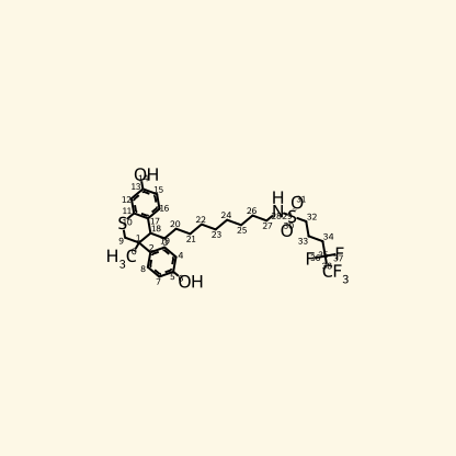 CC1(c2ccc(O)cc2)CSc2cc(O)ccc2C1CCCCCCCCCNS(=O)(=O)CCCC(F)(F)C(F)(F)F